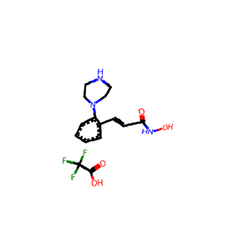 O=C(C=Cc1ccccc1N1CCNCC1)NO.O=C(O)C(F)(F)F